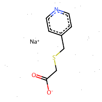 O=C([O-])CSCc1ccncc1.[Na+]